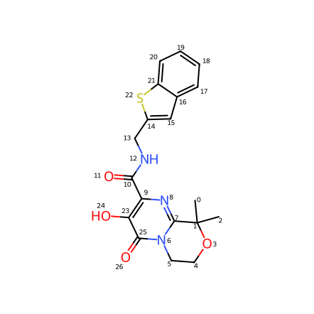 CC1(C)OCCn2c1nc(C(=O)NCc1cc3ccccc3s1)c(O)c2=O